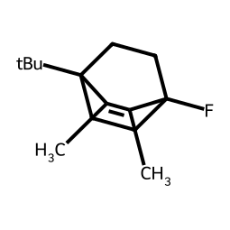 CC1=C(C)C2(C(C)(C)C)CCC1(F)CC2